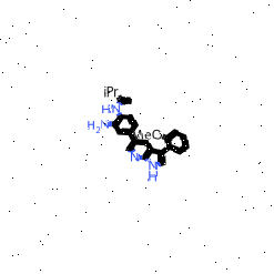 C=C(Nc1ccc(-c2cnc3[nH]cc(-c4ccccc4OC)c3c2)cc1N)C(C)C